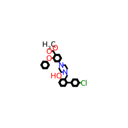 COC(=O)c1ccc(N2CCN(Cc3c(O)cccc3-c3ccc(Cl)cc3)CC2)cc1Oc1ccccc1